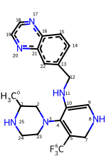 CC1CN(C2=C(C(F)(F)F)CNC=C2NCc2ccc3nccnc3c2)CCN1